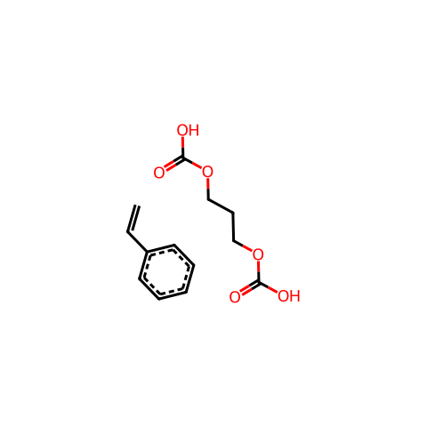 C=Cc1ccccc1.O=C(O)OCCCOC(=O)O